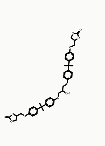 CC(C)(c1ccc(OCC(O)COc2ccc(C(C)(C)c3ccc(OCC4COC(=O)O4)cc3)cc2)cc1)c1ccc(OCC2COC(=O)O2)cc1